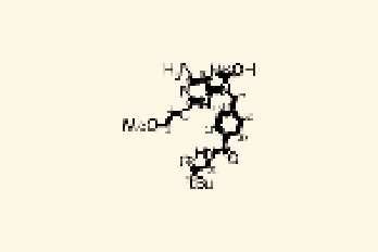 COCCOc1nc(N)c2nc(O)n(Cc3ccc(C(=O)NCC(=O)C(C)(C)C)cc3)c2n1